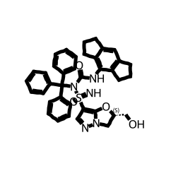 N=S(=O)(c1cnn2c1O[C@H](CO)C2)N(C(=O)Nc1c2c(cc3c1CCC3)CCC2)C(c1ccccc1)(c1ccccc1)c1ccccc1